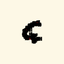 CCc1cnn2c(NCc3ccc(OC4CCN(CC5CCN(c6ncc(C(=O)N[C@H]7CC[C@H](Oc8ccc(C#N)c(Cl)c8)CC7)cn6)CC5)CC4)nc3)cc(N3CCCC[C@H]3CCO)nc12